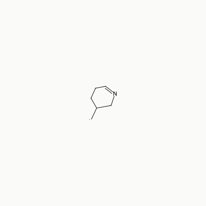 [CH2]C1CCC=NC1